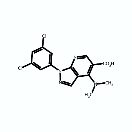 CN(C)c1c(C(=O)O)cnc2c1cnn2-c1cc(Cl)cc(Cl)c1